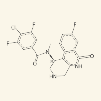 CN(C(=O)c1cc(F)c(Cl)c(F)c1)[C@@H]1CNCc2[nH]c(=O)c3cc(F)ccc3c21